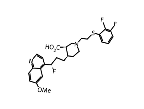 COc1ccc2nccc([C@@H](F)CC[C@@H]3CCN(CCSc4cccc(F)c4F)C[C@@H]3C(=O)O)c2c1